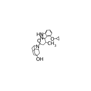 CC(CC(=O)N1C2CC3CC1CC(O)(C3)C2)c1n[nH]c2cccc(OC3CC3)c12